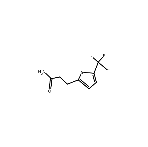 NC(=O)C[CH]c1ccc(C(F)(F)F)s1